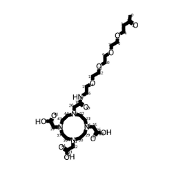 CC(=O)CCOCCOCCOCCOCCNC(=O)CN1CCN(CC(=O)O)CCN(CC(=O)O)CCN(CC(=O)O)CC1